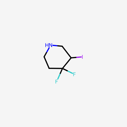 FC1(F)CCNCC1I